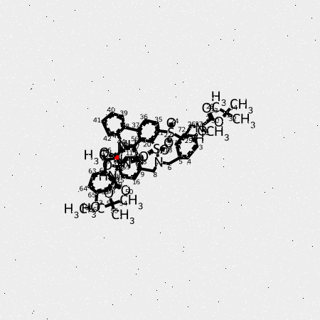 COc1ccc(CN(Cc2ccc(OC)cc2)S(=O)(=O)c2c(S(=O)(=O)CCNC(=O)OC(C)(C)C)ccc(-c3ccccc3NC(=O)CNC(=O)OC(C)(C)C)c2-c2nnn(Cc3ccc(OC)cc3)n2)cc1